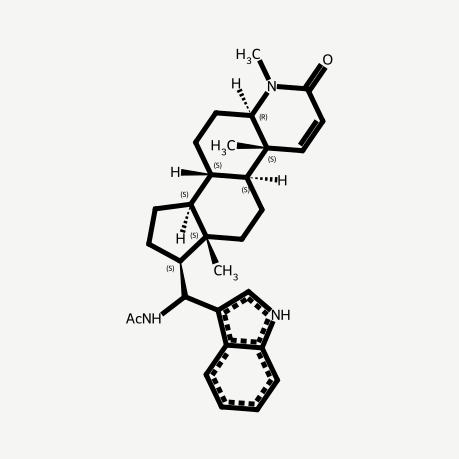 CC(=O)NC(c1c[nH]c2ccccc12)[C@H]1CC[C@H]2[C@@H]3CC[C@H]4N(C)C(=O)C=C[C@]4(C)[C@H]3CC[C@]12C